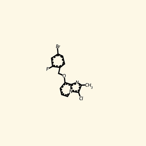 Cc1nc2c(OCc3ccc(Br)cc3F)cccn2c1Cl